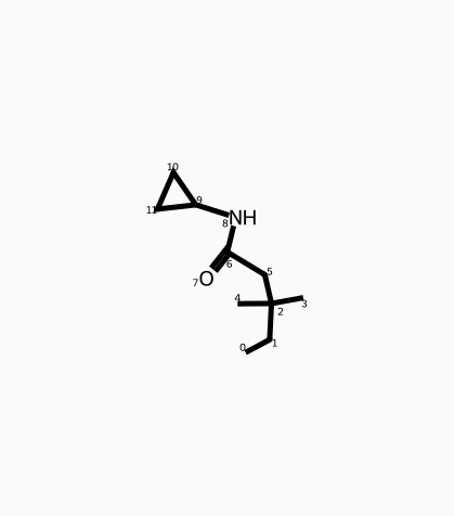 CCC(C)(C)CC(=O)NC1CC1